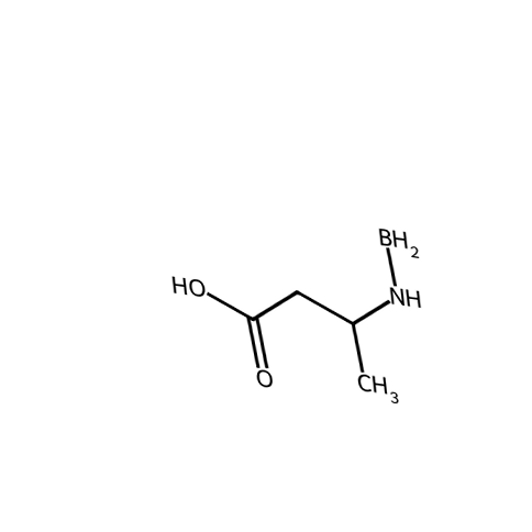 BNC(C)CC(=O)O